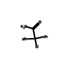 CCCC(Cl)(CCC)C(N)=O